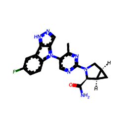 Cc1nc(N2C[C@H]3C[C@H]3[C@H]2C(N)=O)ncc1-n1c2ccc(F)cc2c2[nH]ncc21